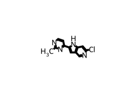 Cc1nccc(-c2cc3cnc(Cl)cc3[nH]2)n1